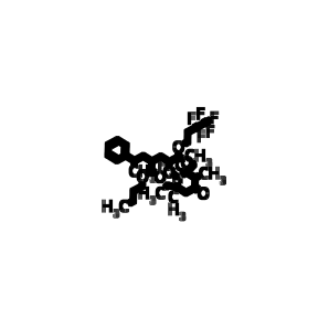 CCCCOC(=O)C(CC(ON1C(C)(CC)CC(=O)C(C)C1(C)CC)C(=O)OCCC(F)(F)C(F)(F)F)CC(C)c1ccccc1